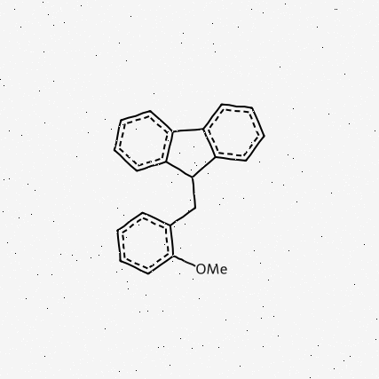 COc1ccccc1CC1c2ccccc2-c2ccccc21